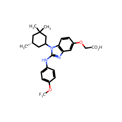 C[C@H]1CC(n2c(Nc3ccc(OC(F)(F)F)cc3)nc3cc(OCC(=O)O)ccc32)CC(C)(C)C1